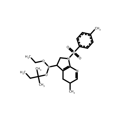 CCOB(OC(C)(C)CC)C1CN(S(=O)(=O)c2ccc(C)cc2)C2=C1CC(C)C=N2